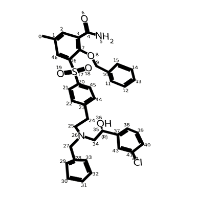 Cc1cc(C(N)=O)c(OCc2ccccc2)c(S(=O)(=O)c2ccc(CCN(Cc3ccccc3)C[C@H](O)c3cccc(Cl)c3)cc2)c1